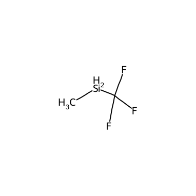 C[SiH2]C(F)(F)F